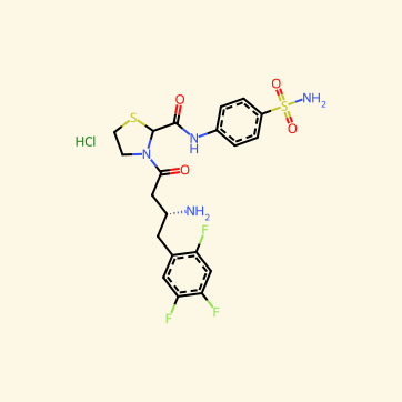 Cl.N[C@@H](CC(=O)N1CCSC1C(=O)Nc1ccc(S(N)(=O)=O)cc1)Cc1cc(F)c(F)cc1F